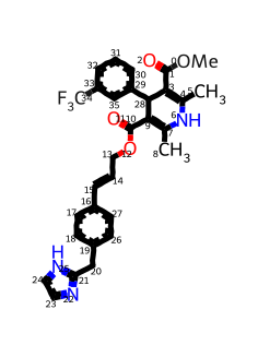 COC(=O)C1=C(C)NC(C)=C(C(=O)OCC=Cc2ccc(Cc3ncc[nH]3)cc2)C1c1cccc(C(F)(F)F)c1